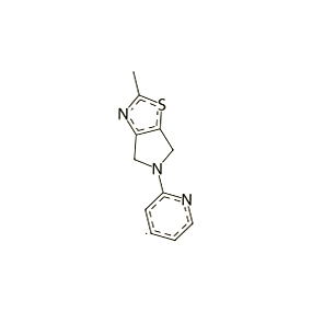 Cc1nc2c(s1)CN(c1c[c]ccn1)C2